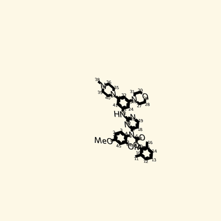 COc1ccc(N(C(=O)Oc2c(C)cccc2C)c2ccnc(Nc3cc(N4CCOCC4)cc(N4CCN(C)CC4)c3)n2)c(OC)c1